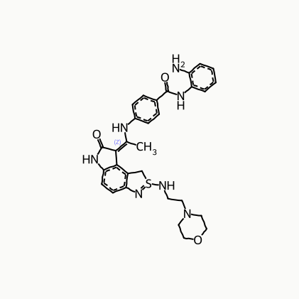 C/C(Nc1ccc(C(=O)Nc2ccccc2N)cc1)=C1/C(=O)Nc2ccc3c(c21)CS(NCCN1CCOCC1)=N3